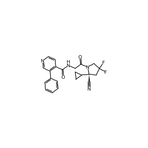 N#C[C@]1(C2CC2)CC(F)(F)CN1C(=O)CNC(=O)c1ccncc1-c1ccccc1